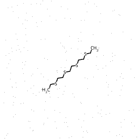 [CH2]CSCCSCCSCCSC[CH2]